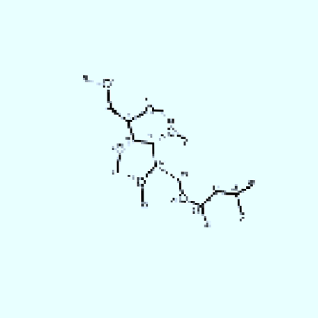 COC[C@@H](OC)[C@@H](OC)[C@H](OC)[C@H](COC(C)CC(C)C)OC